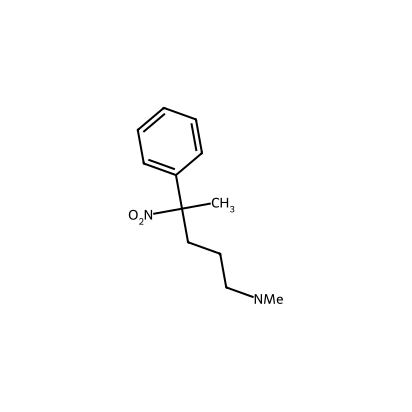 CNCCCC(C)(c1ccccc1)[N+](=O)[O-]